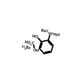 CCCCCCCc1ccccc1O.O=C(O)O.[BaH2].[BaH2]